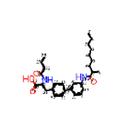 CCCCCCCC(C)C(=O)Nc1cccc(-c2ccc(CC(NC(=O)CCC)C(=O)O)cc2)c1